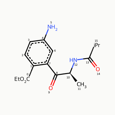 CCOC(=O)c1ccc(N)cc1C(=O)[C@H](C)NC(=O)C(C)C